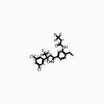 CCc1ccc(C2=NOC(c3cc(Cl)cc(Cl)c3)(C(F)(F)F)C2)cc1NC(=O)CC(F)(F)F